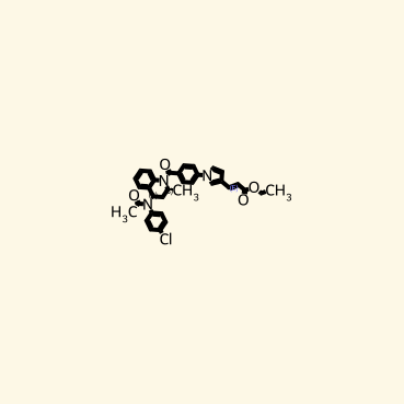 CCOC(=O)/C=C/c1ccn(-c2ccc(C(=O)N3c4ccccc4[C@H](N(C(C)=O)c4ccc(Cl)cc4)C[C@@H]3C)cc2)c1